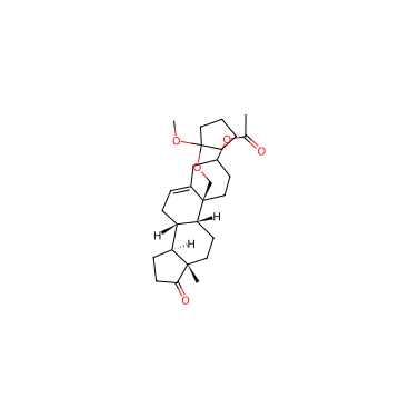 COC1(OC[C@]23CCC(OC(C)=O)CC2=CC[C@@H]2[C@H]3CC[C@]3(C)C(=O)CC[C@@H]23)CCCC1